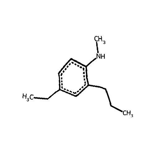 CCCc1cc(CC)ccc1NC